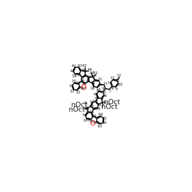 CCCCCCCCC1(CCCCCCCC)c2cc(C(Cc3ccc(C)cc3)Cc3ccc4c(c3)C(C)(C)c3c5c(c6c(oc7ccccc76)c3-4)-c3ccccc3C5(C)C)ccc2-c2cc3c(cc21)-c1c(ccc2oc4ccccc4c12)C3(CCCCCCCC)CCCCCCCC